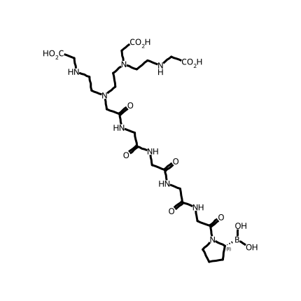 O=C(O)CNCCN(CCN(CCNCC(=O)O)CC(=O)NCC(=O)NCC(=O)NCC(=O)NCC(=O)N1CCC[C@H]1B(O)O)CC(=O)O